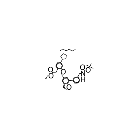 CCCCCC.CCOC(=O)Cc1ccc(C2CCCC2)cc1OCc1cc(-c2cccc(CNC(=O)OC(C)(C)C)c2)c2occc2c1